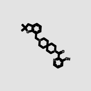 CC1(C)Cc2cccc(CN3CCC4(CC3)CCN(C(=O)c3ncccc3O)CC4)c2O1